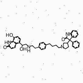 NC(=O)C(c1ccccc1)(c1ccccc1)C1CCN(CCCCc2ccc(CCNCC(O)c3ccc(O)c4[nH]c(=O)ccc34)cc2)C1